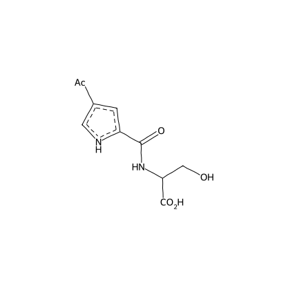 CC(=O)c1c[nH]c(C(=O)NC(CO)C(=O)O)c1